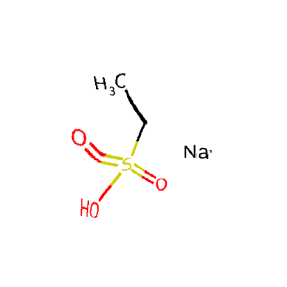 CCS(=O)(=O)O.[Na]